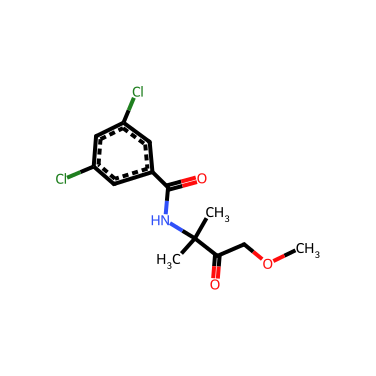 COCC(=O)C(C)(C)NC(=O)c1cc(Cl)cc(Cl)c1